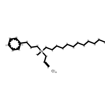 C=CC[N+](C)(CCCCCCCCCCCC)CCCc1ccccc1.[Cl-]